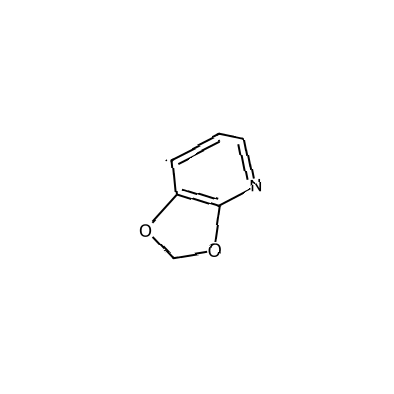 [c]1ccnc2c1OCO2